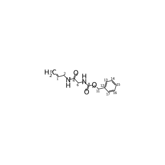 C=CCNC(=O)CNC(=O)OCc1ccccc1